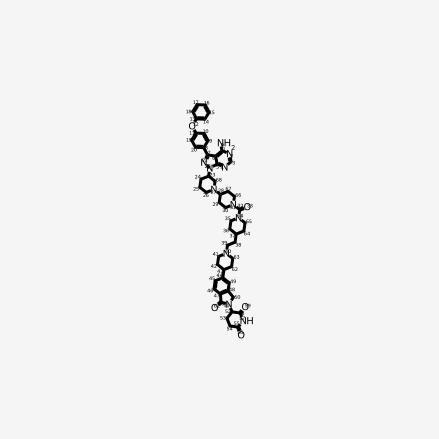 Nc1ncnc2c1c(-c1ccc(Oc3ccccc3)cc1)nn2C1CCCN(C2CCN(C(=O)N3CCC(CCN4CCC(c5ccc6c(c5)CN(C5CCC(=O)NC5=O)C6=O)CC4)CC3)CC2)C1